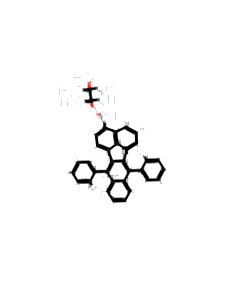 Cc1ccccc1-c1c2c(c(-c3ccccc3C)c3ccccc13)-c1ccc(BOC(C)(C)C(C)(C)O)c3cccc-2c13